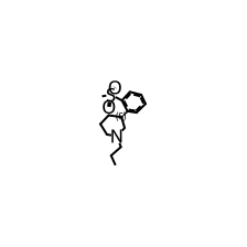 CCCN1CCC[C@@H](c2ccccc2S(C)(=O)=O)C1